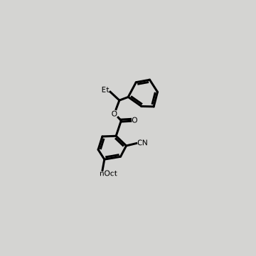 CCCCCCCCc1ccc(C(=O)OC(CC)c2ccccc2)c(C#N)c1